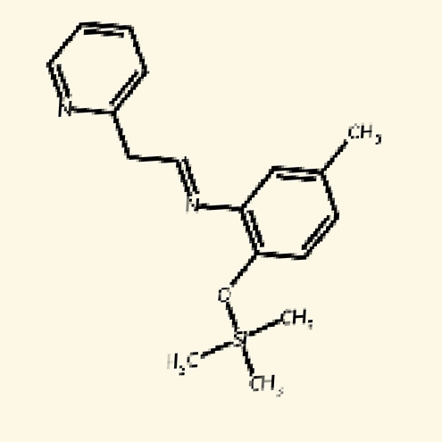 Cc1ccc(O[Si](C)(C)C)c(N=CCc2ccccn2)c1